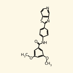 COc1cc(OC)cc(C(=O)Nc2ccc(-c3nc4cnccc4s3)cc2)c1